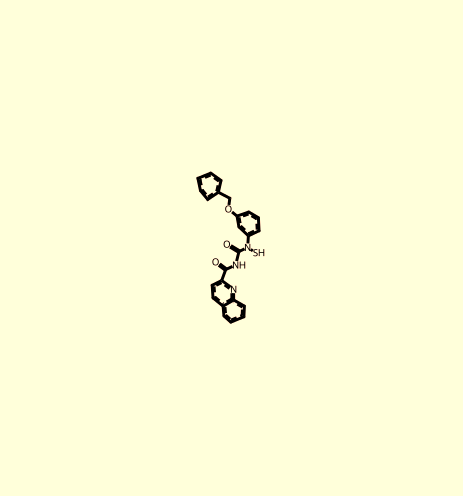 O=C(NC(=O)N(S)c1cccc(OCc2ccccc2)c1)c1ccc2ccccc2n1